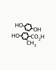 Cc1cc(O)ccc1C(=O)O.Oc1ccc(O)cc1